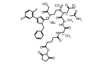 C[C@H](NC(=O)CCCC(=O)ON1C(=O)CCC1=O)C(=O)N[C@@H](C)C(=O)N([C@@H](CC(N)=O)C(N)=O)[C@@H](CCN(C(=O)CO)[C@@H](c1cc(-c2cc(F)ccc2F)cn1Cc1ccccc1)C(C)(C)C)C(=O)O